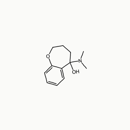 CN(C)C1(O)CCCOc2ccccc21